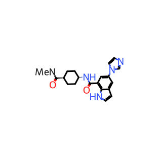 CNC(=O)[C@H]1CC[C@H](NC(=O)c2cc(-n3ccnc3)cc3cc[nH]c23)CC1